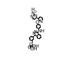 Nc1nccc(-c2cccnc2Oc2ccc(Nc3nnc(-c4cccc(COP(=O)(O)O)c4)c4ccccc34)cc2)n1